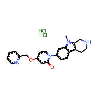 Cl.Cl.Cn1c2c(c3ccc(-n4ccc(OCc5ccccn5)cc4=O)cc31)CCNC2